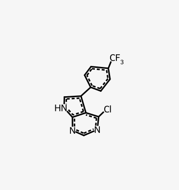 FC(F)(F)c1ccc(-c2c[nH]c3ncnc(Cl)c23)cc1